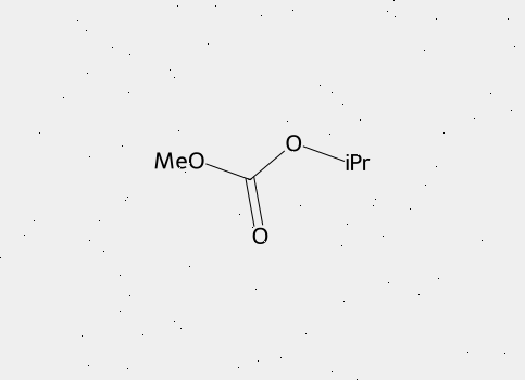 [CH]OC(=O)OC(C)C